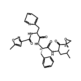 Cc1cc(C(=O)NC(Cc2ccccn2)C(=O)N[C@@H](Cc2ccccc2)C(=O)NC(CC(C)C)C(=O)[C@@]2(C)CO2)no1